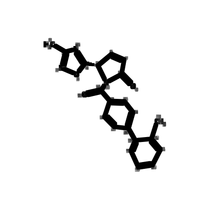 Cc1noc([C@@H]2C=CC(=O)N2C(=O)c2ccc(-c3ccccc3C)cc2)n1